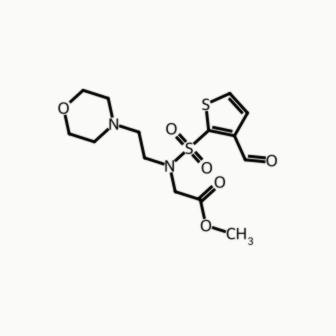 COC(=O)CN(CCN1CCOCC1)S(=O)(=O)c1sccc1C=O